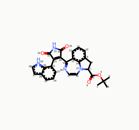 CC(C)(C)OC(=O)C1Cc2cccc3c2N1C=CN=C3C1=C(c2cccc3cc[nH]c23)C(=O)NC1=O